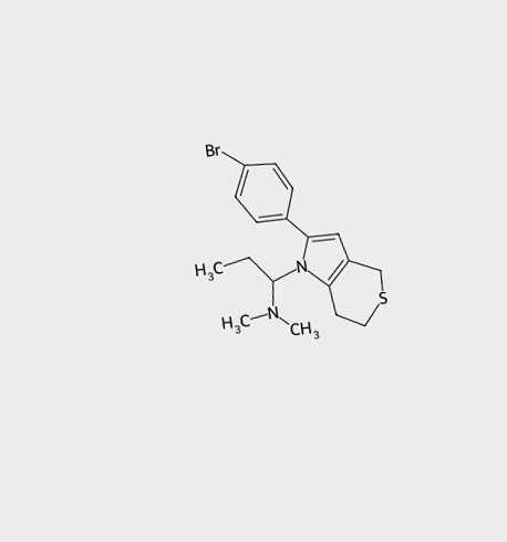 CCC(N(C)C)n1c(-c2ccc(Br)cc2)cc2c1CCSC2